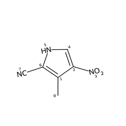 Cc1c([N+](=O)[O-])c[nH]c1C#N